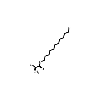 C=C(Cl)C(=O)OCCCCCCCCCCC[O]